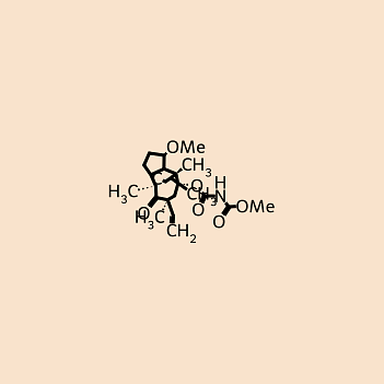 C=C[C@]1(C)C[C@@H](OC(=O)NC(=O)OC)[C@]2(C)C(C)CC[C@]3(CC[C@@H](OC)C32)[C@@H](C)C1=O